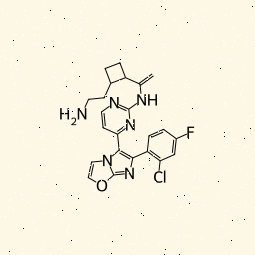 C=C(Nc1nccc(-c2c(-c3ccc(F)cc3Cl)nc3occn23)n1)C1CCC1CCN